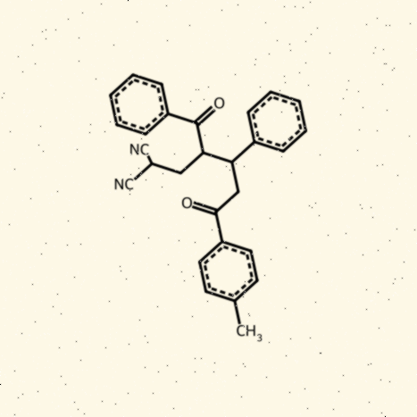 Cc1ccc(C(=O)CC(c2ccccc2)C(CC(C#N)C#N)C(=O)c2ccccc2)cc1